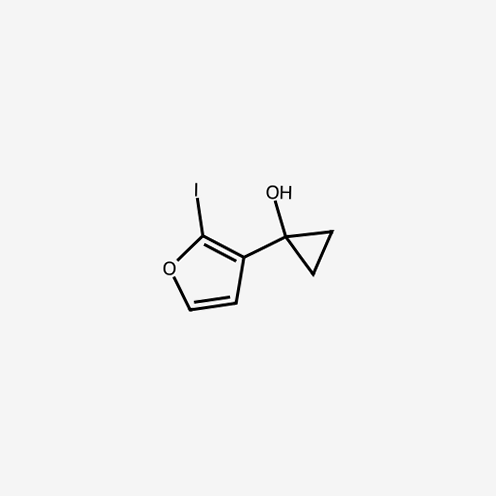 OC1(c2ccoc2I)CC1